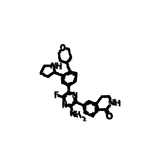 Nc1nc(F)c(-c2ccc(C3CCOCC3)c(C3CCCN3)c2)nc1-c1ccc2c(c1)CCNC2=O